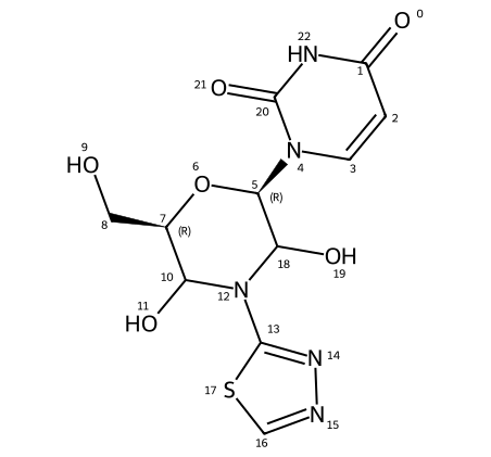 O=c1ccn([C@@H]2O[C@H](CO)C(O)N(c3nncs3)C2O)c(=O)[nH]1